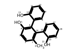 Cc1ccc(O)c(-c2ccccc2O)c1-c1ccccc1O